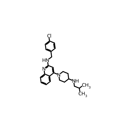 CC(C)CNC1CCN(c2cc(NCc3ccc(Cl)cc3)nc3ccccc23)CC1